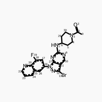 CC(=O)N1CCC(Nc2ncc3c(Br)nn(-c4cc(F)c5ncccc5c4)c3n2)CC1